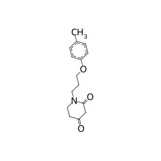 Cc1ccc(OCCCN2CCC(=O)CC2=O)cc1